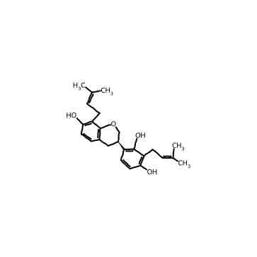 CC(C)=CCc1c(O)ccc([C@@H]2COc3c(ccc(O)c3CC=C(C)C)C2)c1O